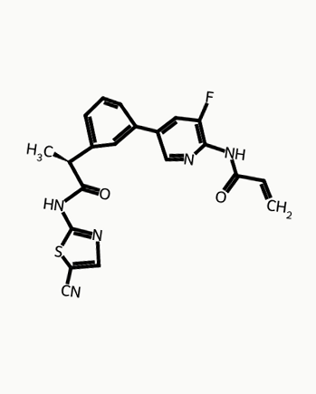 C=CC(=O)Nc1ncc(-c2cccc([C@H](C)C(=O)Nc3ncc(C#N)s3)c2)cc1F